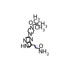 CC(C)(C)C(=O)N1CCN(c2cnc3[nH]cc(/C=C/C(N)=O)c3n2)CC1